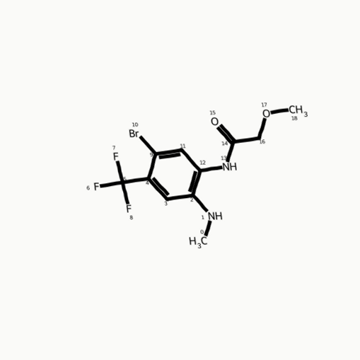 CNc1cc(C(F)(F)F)c(Br)cc1NC(=O)COC